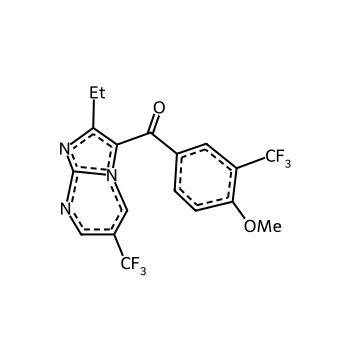 CCc1nc2ncc(C(F)(F)F)cn2c1C(=O)c1ccc(OC)c(C(F)(F)F)c1